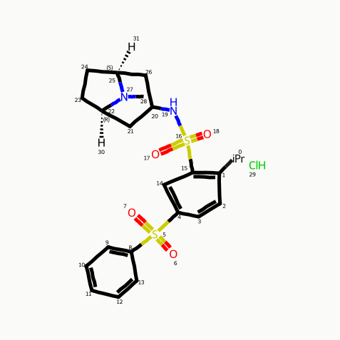 CC(C)c1ccc(S(=O)(=O)c2ccccc2)cc1S(=O)(=O)NC1C[C@H]2CC[C@@H](C1)N2C.Cl